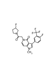 Cn1cc(-c2ccc(F)c(C(F)(F)F)c2)c2c(=O)n(CC(=O)N3CCC(F)C3)ccc21